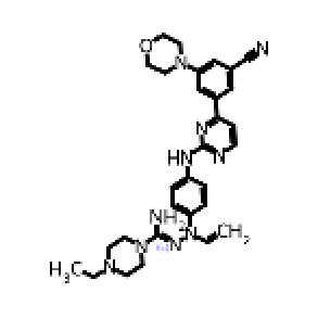 C=CN(/N=C(\N)N1CCN(CC)CC1)c1ccc(Nc2nccc(-c3cc(C#N)cc(N4CCOCC4)c3)n2)cc1